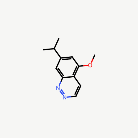 COc1cc(C(C)C)cc2nnccc12